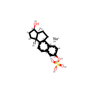 C[C@]12CCc3c(ccc4cc(OS(=O)(=O)[O-])ccc34)[C@@H]1CC[C@H]2O.[Na+]